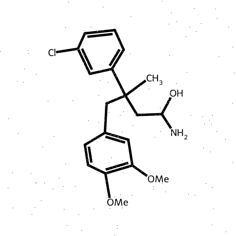 COc1ccc(CC(C)(CC(N)O)c2cccc(Cl)c2)cc1OC